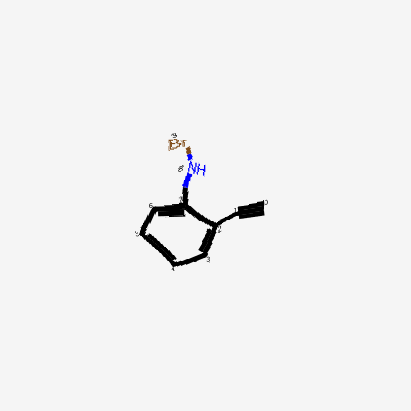 C#Cc1ccccc1NBr